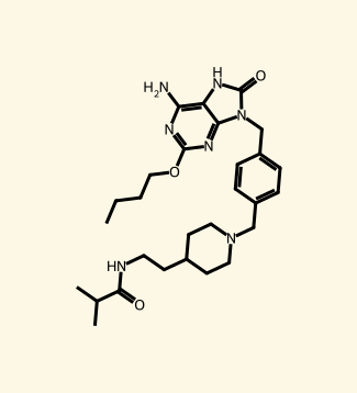 CCCCOc1nc(N)c2[nH]c(=O)n(Cc3ccc(CN4CCC(CCNC(=O)C(C)C)CC4)cc3)c2n1